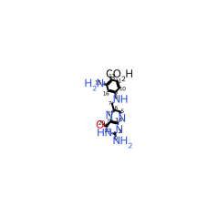 Nc1nc2ncc(CNc3ccc(C(=O)O)c(N)c3)nc2c(=O)[nH]1